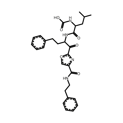 CC(C)CC(NC(=O)O)C(=O)NC(CCc1ccccc1)C(=O)c1nc(C(=O)NCCc2ccccc2)co1